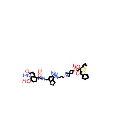 O=C(OC1CC2(C1)CN(CCCn1nnc3cc(CNC[C@H](O)c4ccc(O)c5[nH]c(=O)ccc45)c4c(c31)CCC4)C2)C(O)(c1cccs1)c1cc2ccccc2s1